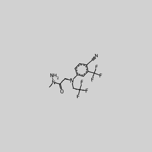 CN(N)C(=O)CN(CC(F)(F)F)c1ccc(C#N)c(C(F)(F)F)c1